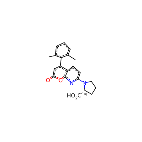 Cc1cccc(C)c1-c1cc(=O)oc2nc(N3CCC[C@@H]3C(=O)O)ccc12